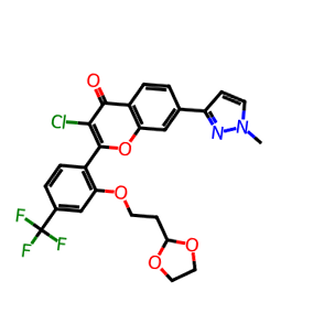 Cn1ccc(-c2ccc3c(=O)c(Cl)c(-c4ccc(C(F)(F)F)cc4OCCC4OCCO4)oc3c2)n1